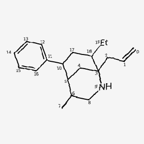 C=CCC12CC(C(C)CN1)C(c1ccccc1)CC2CC